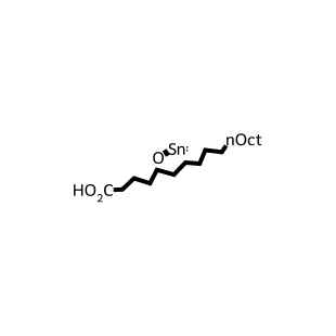 CCCCCCCCCCCCCCCCCC(=O)O.[O]=[Sn]